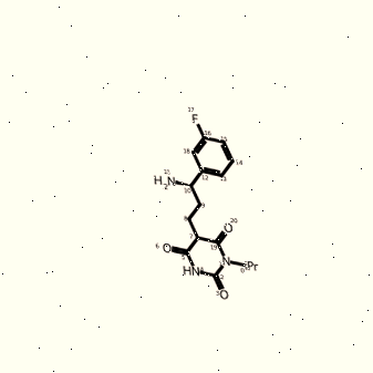 CC(C)N1C(=O)NC(=O)C(CC[C@@H](N)c2cccc(F)c2)C1=O